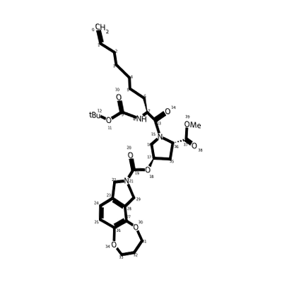 C=CCCCCC[C@H](NC(=O)OC(C)(C)C)C(=O)N1C[C@H](OC(=O)N2Cc3ccc4c(c3C2)OCCCO4)C[C@H]1C(=O)OC